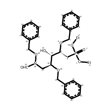 CCOP(=O)(C[C@@H](OCc1ccccc1)[C@@H](O)[C@H](CN(C=O)OCc1ccccc1)OCc1ccccc1)OCC